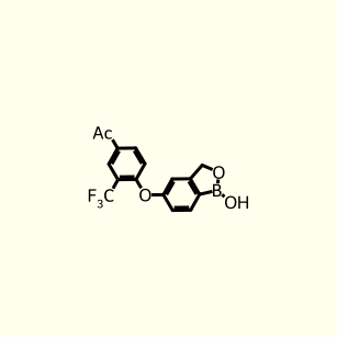 CC(=O)c1ccc(Oc2ccc3c(c2)COB3O)c(C(F)(F)F)c1